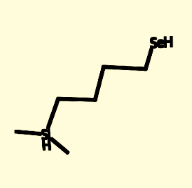 C[SiH](C)CCCC[SeH]